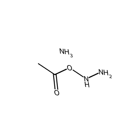 CC(=O)ONN.N